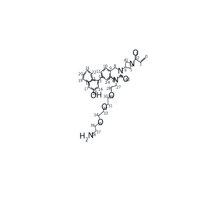 C=CC(=O)N1CC(N2Cc3ccc(-c4cc(O)cc5ccccc45)cc3N(CCOCCOCCOCCN)C2=O)C1